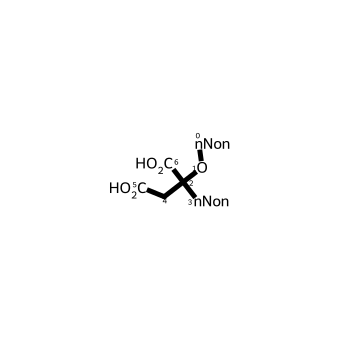 CCCCCCCCCOC(CCCCCCCCC)(CC(=O)O)C(=O)O